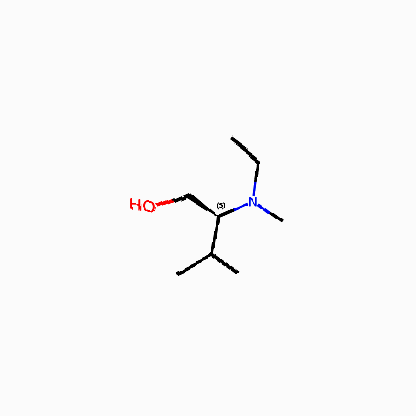 CCN(C)[C@H](CO)C(C)C